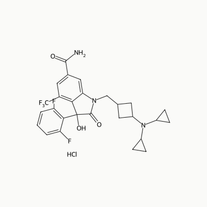 Cl.NC(=O)c1cc2c(c(C(F)(F)F)c1)C(O)(c1c(F)cccc1F)C(=O)N2CC1CC(N(C2CC2)C2CC2)C1